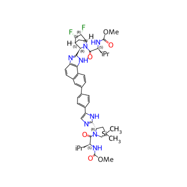 COC(=O)N[C@H](C(=O)N1C[Si](C)(C)C[C@H]1c1ncc(-c2ccc(-c3ccc4c(ccc5nc([C@H]6[C@@H]7C[C@@H]([C@@H](F)[C@H]7F)N6C(=O)[C@@H](NC(=O)OC)C(C)C)[nH]c54)c3)cc2)[nH]1)C(C)C